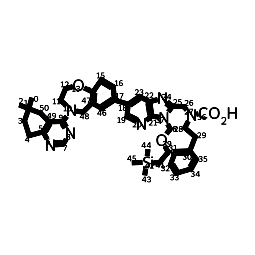 CC1(C)CCc2ncnc(N3CCOc4ccc(-c5cnc6c(c5)nc(CN(CCc5ccccc5)C(=O)O)n6COCC[Si](C)(C)C)cc4C3)c2C1